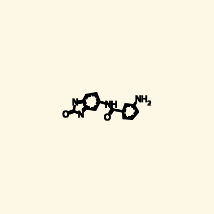 Nc1cccc(C(=O)Nc2ccc3c(c2)=NC(=O)N=3)c1